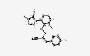 Cc1ccc(/N=C(/C#N)SCc2c(C)cccc2-n2nnn(C)c2=O)cc1